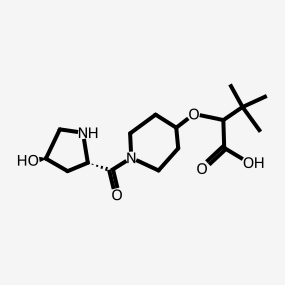 CC(C)(C)C(OC1CCN(C(=O)[C@@H]2C[C@@H](O)CN2)CC1)C(=O)O